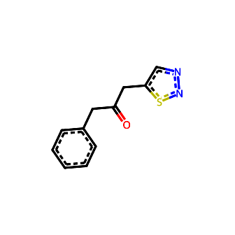 O=C(Cc1ccccc1)Cc1cnns1